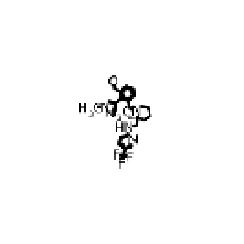 CC[C@]1(CNc2ccc(C(F)(F)F)cn2)CCCCN1Cc1cccc(C=O)c1-c1cnn(C)c1